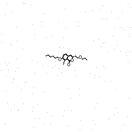 CCCCCCOc1ccc2cc(CCOCCC)oc(=O)c2c1F